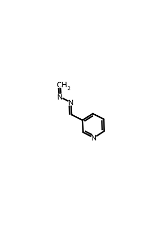 C=NN=Cc1cccnc1